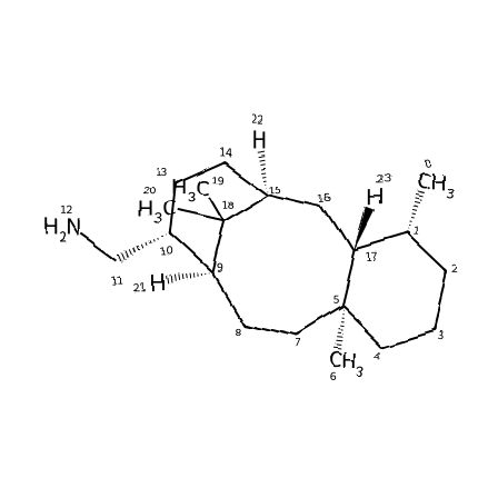 C[C@@H]1CCC[C@@]2(C)CC[C@H]3[C@H](CN)CC[C@@H](C[C@H]12)C3(C)C